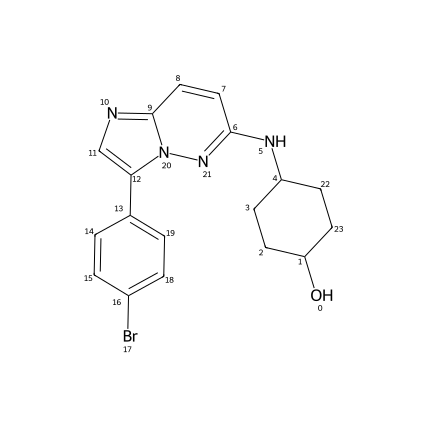 OC1CCC(Nc2ccc3ncc(-c4ccc(Br)cc4)n3n2)CC1